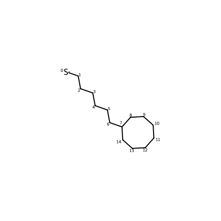 [S]CCCCCCC1CCCCCCC1